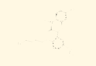 COc1ccc(OCCCCBr)c(C2Sc3cc(C)ccc3N(C)C2=O)c1